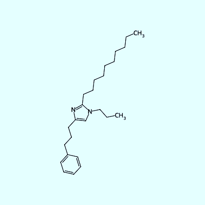 CCCCCCCCCCc1nc(CCCc2ccccc2)cn1CCC